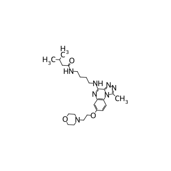 Cc1nnc2c(NCCCCNC(=O)CC(C)C)nc3cc(OCCN4CCOCC4)ccc3n12